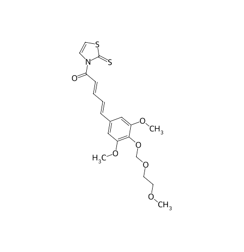 COCCOCOc1c(OC)cc(C=CC=CC(=O)n2ccsc2=S)cc1OC